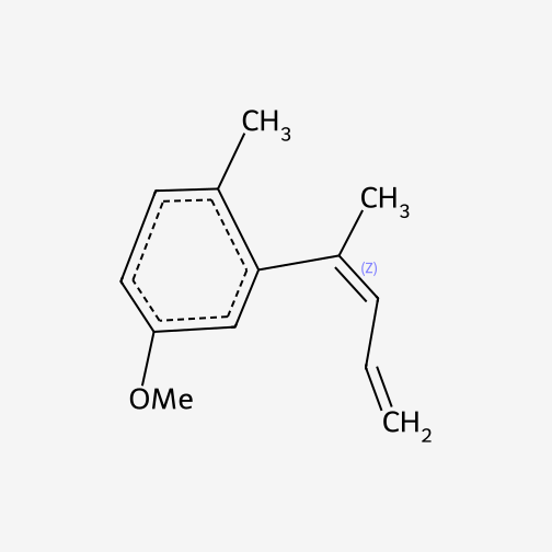 C=C/C=C(/C)c1cc(OC)ccc1C